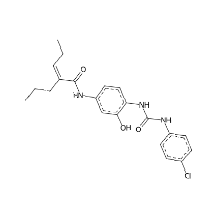 CC/C=C(/CCC)C(=O)Nc1ccc(NC(=O)Nc2ccc(Cl)cc2)c(O)c1